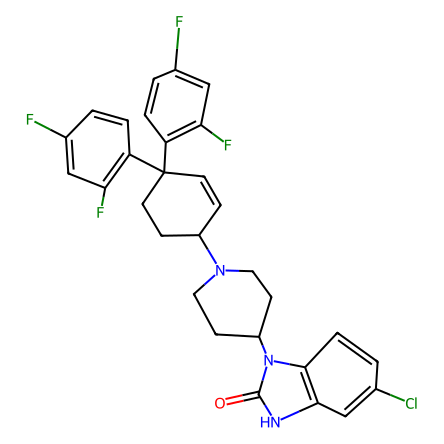 O=c1[nH]c2cc(Cl)ccc2n1C1CCN(C2C=CC(c3ccc(F)cc3F)(c3ccc(F)cc3F)CC2)CC1